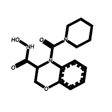 O=C(NO)C1COc2ccccc2N1C(=O)N1CCCCC1